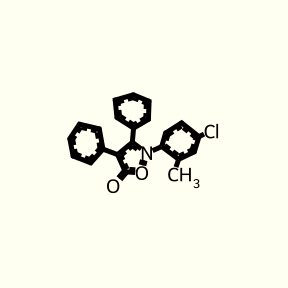 Cc1cc(Cl)ccc1-n1oc(=O)c(-c2ccccc2)c1-c1ccccc1